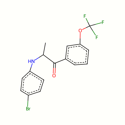 CC(Nc1ccc(Br)cc1)C(=O)c1cccc(OC(F)(F)F)c1